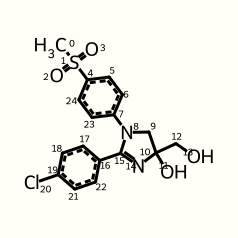 CS(=O)(=O)c1ccc(N2CC(O)(CO)N=C2c2ccc(Cl)cc2)cc1